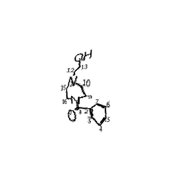 O=C(c1cc[c]cc1)N1CCN(CCO)CC1